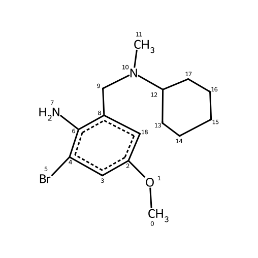 COc1cc(Br)c(N)c(CN(C)C2CCCCC2)c1